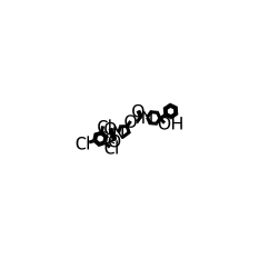 O=C(COC1CCN(S(=O)(=O)c2c(Cl)cc(Cl)cc2Cl)C1)N1CCC(O)(c2ccccc2)CC1